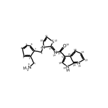 NCc1ccccc1Cn1ccs/c1=N\C(=O)c1c[nH]c2ncccc12